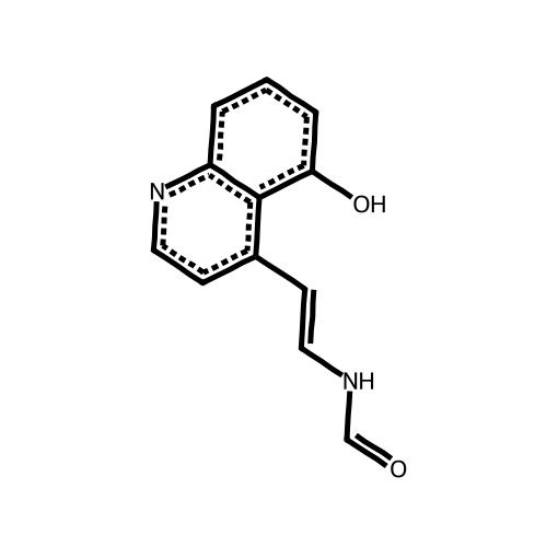 O=CNC=Cc1ccnc2cccc(O)c12